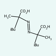 CCC(C)C(C)(N=NC(C)(C(=O)O)C(C)CC)C(=O)O